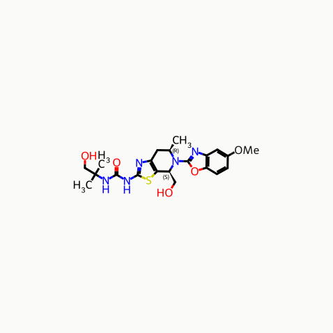 COc1ccc2oc(N3[C@H](C)Cc4nc(NC(=O)NC(C)(C)CO)sc4[C@@H]3CO)nc2c1